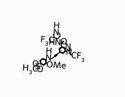 COc1cc(S(C)(=O)=O)ccc1NCC#Cc1cc(C(=O)N[C@H]2CCNC[C@H]2C(F)(F)F)c2ncn(CC(F)(F)F)c2c1